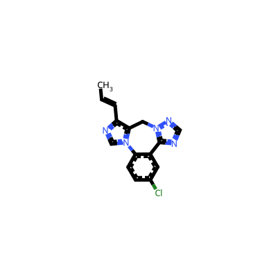 CC=Cc1ncn2c1Cn1ncnc1-c1cc(Cl)ccc1-2